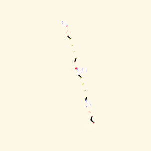 CC/N=C\OOCCSCSCSCCOC(=O)NCCSCSCSCC/N=C/OOCCCO